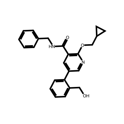 O=C(NCc1ccccc1)c1cc(-c2ccccc2CO)cnc1OCC1CC1